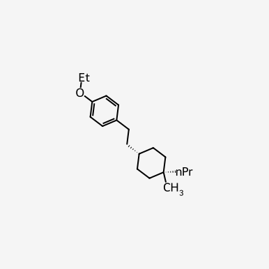 CCC[C@]1(C)CC[C@H](CCc2ccc(OCC)cc2)CC1